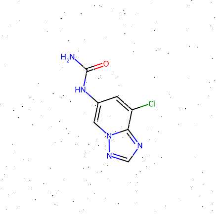 NC(=O)Nc1cc(Cl)c2ncnn2c1